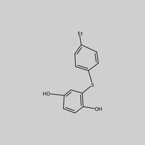 CCc1ccc(Sc2cc(O)ccc2O)cc1